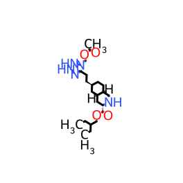 CCC(CC)COC(=O)[C@@H]1C[C@H]2C[C@@H](CCC3=NNNN3COC(C)=O)CC[C@H]2CN1